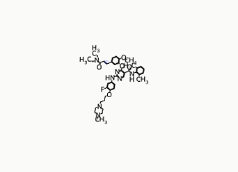 CCN(CC)C(=O)/C=C/c1ccc(OC)c(Oc2nc(Nc3ccc(OCCCN4CCN(C)CC4)c(F)c3)ncc2C(=O)Nc2c(C)cccc2C)c1